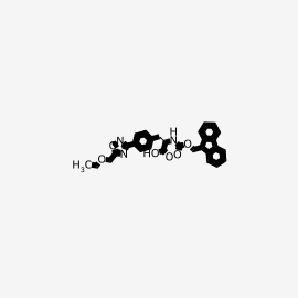 CCOCc1nc(-c2ccc(C[C@H](NC(=O)OCC3c4ccccc4-c4ccccc43)C(=O)O)cc2)no1